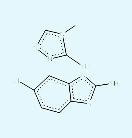 Cn1cnnc1S.Sc1nc2cc(Cl)ccc2s1